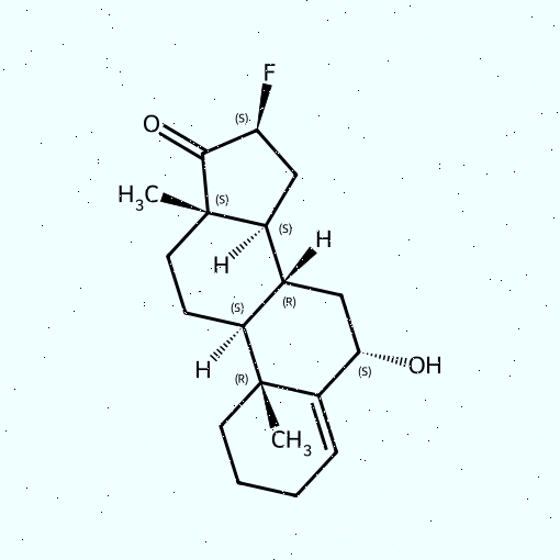 C[C@]12CCCC=C1[C@@H](O)C[C@@H]1[C@@H]2CC[C@]2(C)C(=O)[C@@H](F)C[C@@H]12